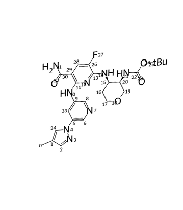 Cc1cnn(-c2cncc(Nc3nc(N[C@@H]4CCOC[C@@H]4NC(=O)OC(C)(C)C)c(F)cc3C(N)=O)c2)c1